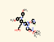 COc1ccc(CN(Cc2ccc(OC)cc2)c2ccc(CCCCC(=O)O)c(-c3ncc4c(N5CCCC(O)(CCNC(=O)OC(C)(C)C)C5)nc(OC[C@@]56CCCN5C[C@H](F)C6)nc4c3F)c2)cc1